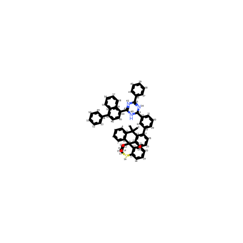 CC1(C)c2ccccc2C2(c3ccccc3Sc3ccccc32)c2cccc(-c3cccc(C4N=C(c5ccccc5)N=C(c5ccc(-c6ccccc6)c6ccccc56)N4)c3)c21